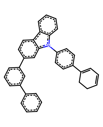 C1=CCCC(c2ccc(-n3c4ccccc4c4ccc(-c5cccc(-c6ccccc6)c5)cc43)cc2)=C1